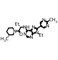 CC[C@H](Nc1ncnc2c1nc(-c1cnc(C)nc1)n2CC)C(=O)N1CCC[C@@H](C)C1